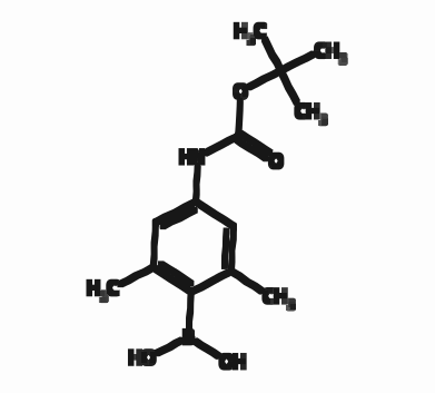 Cc1cc(NC(=O)OC(C)(C)C)cc(C)c1B(O)O